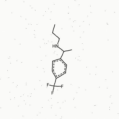 CCCNC(C)c1ccc(C(F)(F)F)cc1